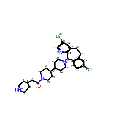 O=C(CC1CCNCC1)N1CCC(C2CCN(C3c4ccc(Cl)cc4CCc4cc(Br)cnc43)CC2)CC1